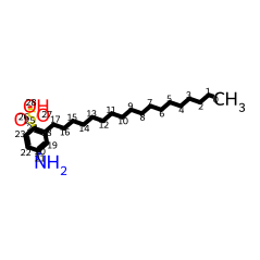 CCCCCCCCCCCCCCCCCCc1cc(N)ccc1S(=O)(=O)O